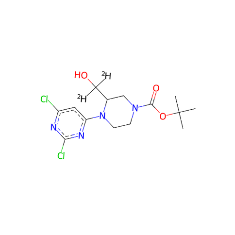 [2H]C([2H])(O)C1CN(C(=O)OC(C)(C)C)CCN1c1cc(Cl)nc(Cl)n1